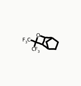 FC(F)(F)C1(C(F)(F)F)OC2C3CCC(C3)C21